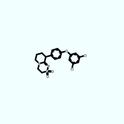 O=S1(=O)CCN2CCCC(c3ccc(Oc4cc(Cl)cc(Cl)c4)cc3)C2=N1